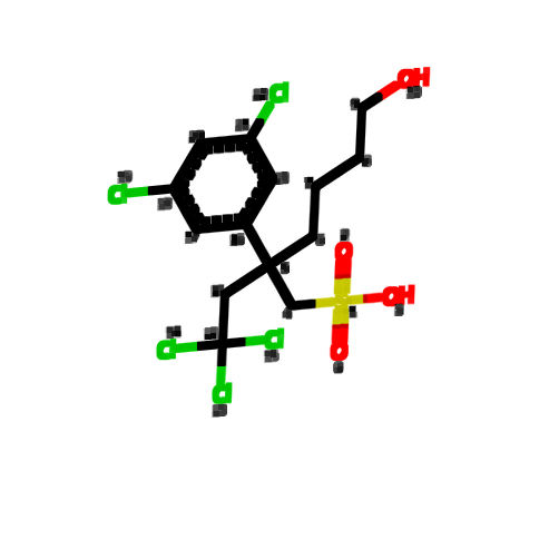 O=S(=O)(O)CC(CCCCO)(CC(Cl)(Cl)Cl)c1cc(Cl)cc(Cl)c1